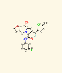 C=C(Cl)/C=C\C=C(/F)C1C[C@H](CO)N(CC2CCOC2)C1C(=O)Nc1cccc(Cl)c1